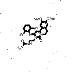 COc1cc2c(cc1OC)-c1c/c(=N\c3c(C(C)C)cccc3C(C)C)n(CCNC(N)=O)c(=O)n1CC2